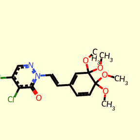 COC1(OC)C=CC(C=Cn2ncc(Cl)c(Cl)c2=O)=CC1(OC)OC